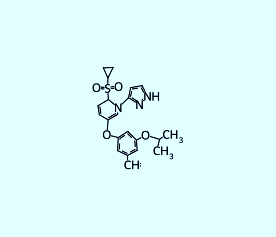 [CH]c1cc(OC2=CN(c3cc[nH]n3)C(S(=O)(=O)C3CC3)C=C2)cc(OC(C)C)c1